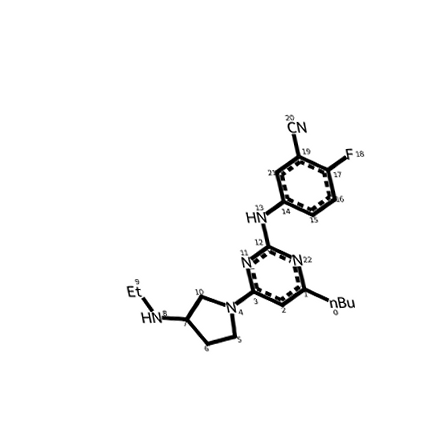 CCCCc1cc(N2CCC(NCC)C2)nc(Nc2ccc(F)c(C#N)c2)n1